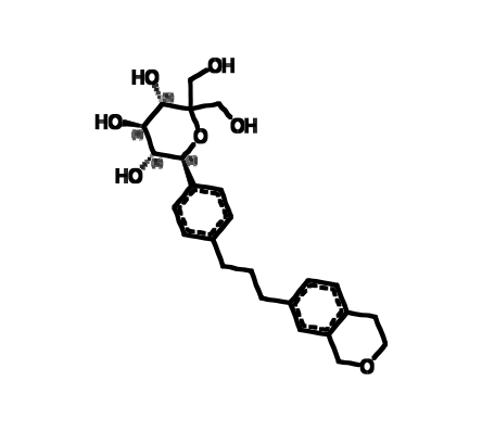 OCC1(CO)O[C@@H](c2ccc(CCCc3ccc4c(c3)COCC4)cc2)[C@H](O)[C@@H](O)[C@@H]1O